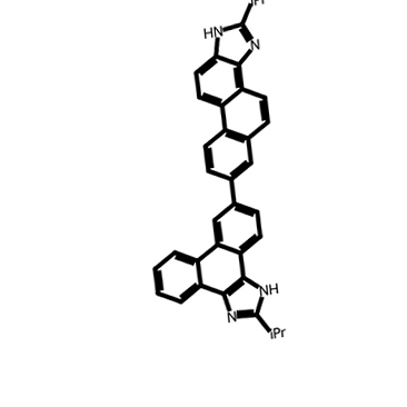 CC(C)c1nc2c(ccc3c4ccc(-c5ccc6c(c5)c5ccccc5c5nc(C(C)C)[nH]c65)cc4ccc32)[nH]1